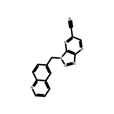 N#Cc1cnc2nnn(Cc3ccc4ncccc4c3)c2n1